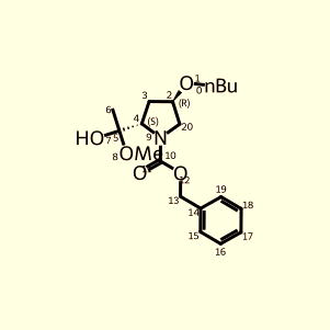 CCCCO[C@@H]1C[C@@H](C(C)(O)OC)N(C(=O)OCc2ccccc2)C1